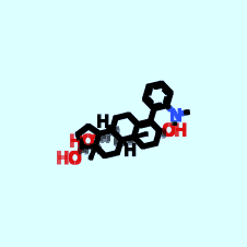 CN(C)c1ccccc1C1=C2CC[C@@H]3[C@H](CC[C@]4(C)[C@@H](O)CC[C@]34O)[C@@]2(C)CC[C@@H]1O